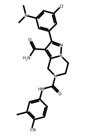 Cc1cc(NC(=O)N2CCn3nc(-c4cc(Cl)cc(N(C)C)c4)c(C(N)=O)c3C2)ccc1C#N